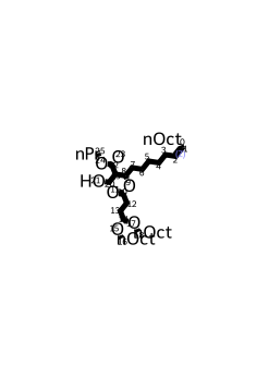 CCCCCCCC/C=C\CCCCCC(OC(=O)CCC(OCCCCCCCC)OCCCCCCCC)C(CO)C(=O)OCCC